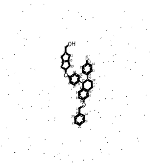 OCC1CC2CC(Oc3ccc([C@@H]4c5ccc(OCc6ccccc6)cc5CC[C@@H]4c4ccc(F)cc4)cc3)CC2C1